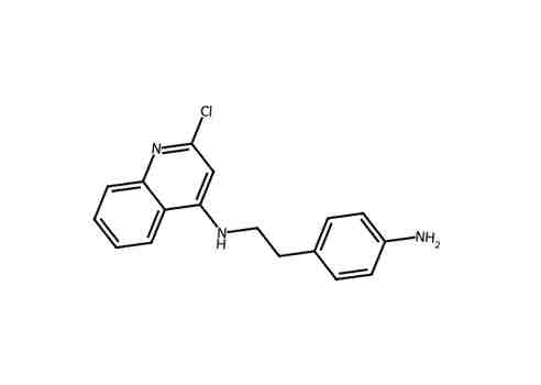 Nc1ccc(CCNc2cc(Cl)nc3ccccc23)cc1